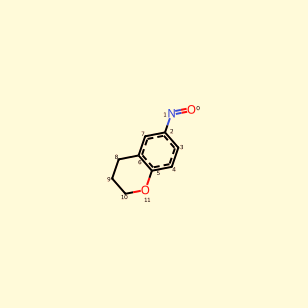 O=Nc1ccc2c(c1)CCCO2